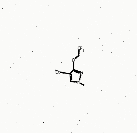 CCc1cn(C)nc1OCC(F)(F)F